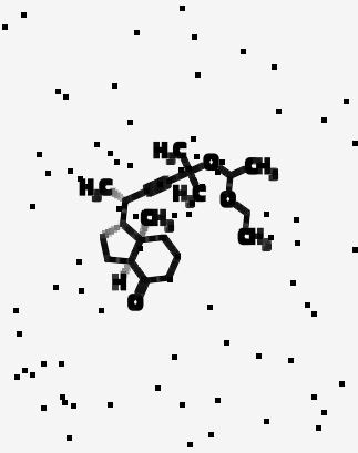 CCOC(C)OC(C)(C)C#C[C@@H](C)[C@H]1CC[C@@H]2C(=O)CCC[C@@]21C